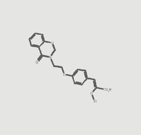 CCOC(=Cc1ccc(OCCN2COc3ccccc3C2=O)cc1)C(=O)O